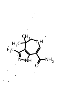 CC1(C)CNC=C(C(N)=O)c2[nH]nc(C(F)(F)F)c21